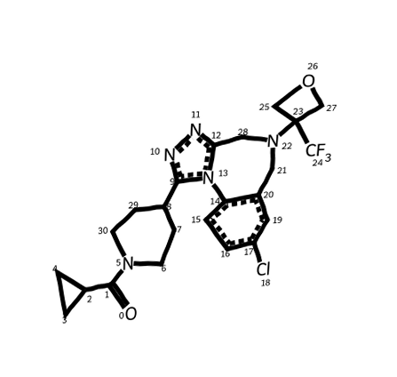 O=C(C1CC1)N1CCC(c2nnc3n2-c2ccc(Cl)cc2CN(C2(C(F)(F)F)COC2)C3)CC1